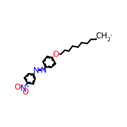 [CH2]CCCCCCCCCOc1ccc(N=Nc2ccc([N+](=O)[O-])cc2)cc1